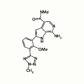 CNC(=O)c1cnc(N)c2[nH]c(-c3cccc(-c4nnn(C)n4)c3OC)cc12